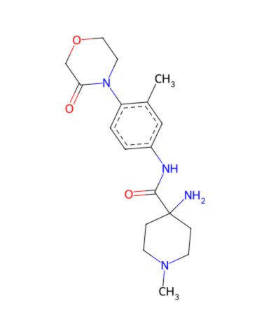 Cc1cc(NC(=O)C2(N)CCN(C)CC2)ccc1N1CCOCC1=O